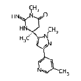 Cc1cncc(-c2cc([C@]3(C)CC(=O)N(C)C(=N)N3)n(C)n2)c1